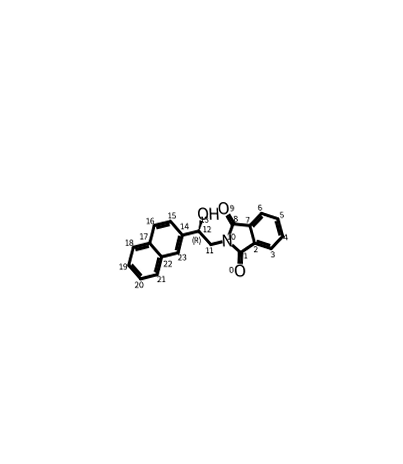 O=C1c2ccccc2C(=O)N1C[C@H](O)c1ccc2ccccc2c1